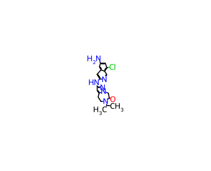 CC(C)N1CCc2cc(Nc3cc4cc(N)cc(Cl)c4cn3)nn2CC1=O